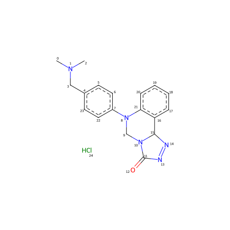 CN(C)Cc1ccc(N2CN3C(=O)N=NC3c3ccccc32)cc1.Cl